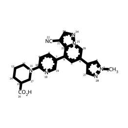 Cn1cc(-c2cc(-c3ccc(N4CCCC(C(=O)O)C4)nc3)c3c(C#N)cnn3c2)cn1